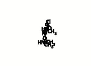 C[C@H](NC(=O)c1ccc(Cl)s1)c1cc(-c2ccc(C(=N)N(C)C)cc2)no1